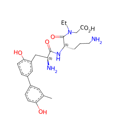 CCN(CC(=O)O)C(=O)[C@H](CCCN)NC(=O)[C@@H](N)Cc1cc(-c2ccc(O)c(C)c2)ccc1O